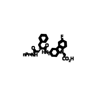 CCCNC(=O)C[C@H](Cc1ccccc1)C(=O)N[C@H]1CCc2c(c3cc(F)ccc3n2CC(=O)O)C1